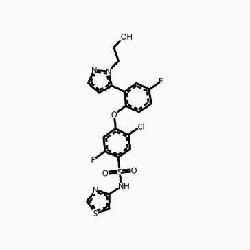 O=S(=O)(Nc1cscn1)c1cc(Cl)c(Oc2ccc(F)cc2-c2ccnn2CCO)cc1F